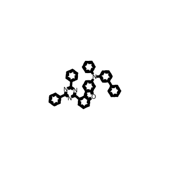 c1ccc(-c2cccc(N(c3ccccc3)c3ccc4c(c3)oc3cccc(-c5nc(-c6ccccc6)nc(-c6ccccc6)n5)c34)c2)cc1